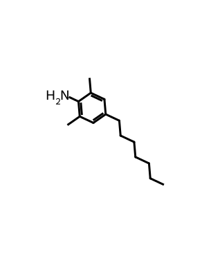 CCCCCCCc1cc(C)c(N)c(C)c1